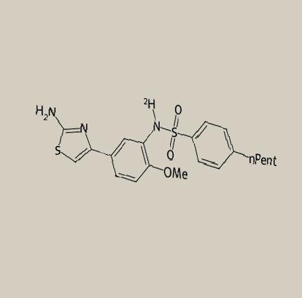 [2H]N(c1cc(-c2csc(N)n2)ccc1OC)S(=O)(=O)c1ccc(CCCCC)cc1